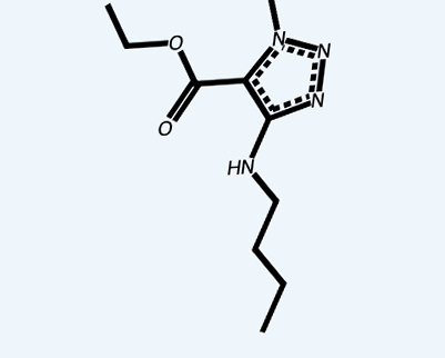 CCCCNc1nnn(C)c1C(=O)OCC